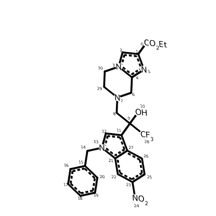 CCOC(=O)c1cn2c(n1)CN(CC(O)(c1cn(Cc3ccccc3)c3cc([N+](=O)[O-])ccc13)C(F)(F)F)CC2